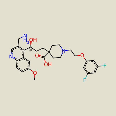 COc1ccc2ncc(CN)c([C@@H](O)CCC3(C(=O)O)CCN(CCOc4cc(F)cc(F)c4)CC3)c2c1